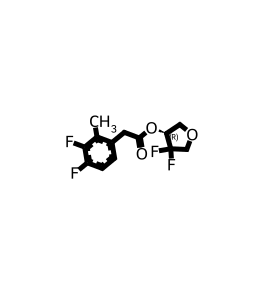 Cc1c(CC(=O)O[C@@H]2COCC2(F)F)ccc(F)c1F